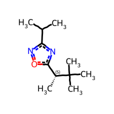 CC(C)c1noc([C@@H](C)C(C)(C)C)n1